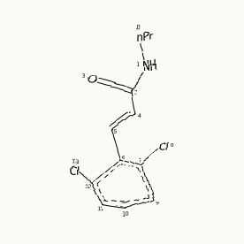 CCCNC(=O)C=Cc1c(Cl)cccc1Cl